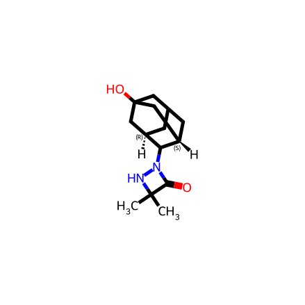 CC1(C)NN(C2[C@@H]3CC4C[C@H]2CC(O)(C4)C3)C1=O